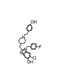 Oc1ccc(CCN2CCC(Cc3nc4cc(O)c(Cl)cc4n3Cc3ccc(F)cc3)CC2)cc1